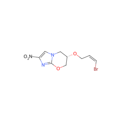 O=[N+]([O-])c1cn2c(n1)OC[C@@H](OC/C=C\Br)C2